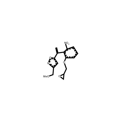 C=C(c1cc(COC)no1)c1c(OCC2CO2)cccc1[N+](=O)[O-]